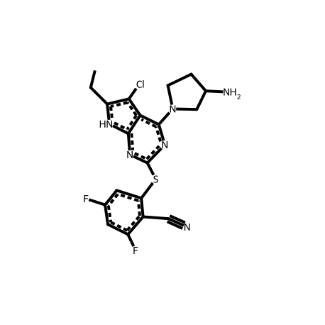 CCc1[nH]c2nc(Sc3cc(F)cc(F)c3C#N)nc(N3CCC(N)C3)c2c1Cl